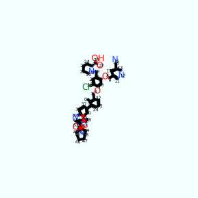 Cc1c(COc2cc(OCc3cncc(C#N)c3)c(CN3CCCC[C@H]3C(=O)O)cc2Cl)cccc1-c1ccc2ncc(C3=CC4CCC(C3)N4C(=O)OC(C)(C)C)nc2c1